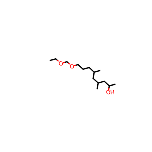 CCOCOCCCC(C)CC(C)CC(C)O